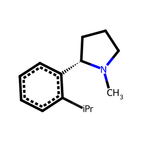 CC(C)c1ccccc1[C@@H]1CCCN1C